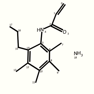 C=CC(=O)Nc1c(C)c(C)c(C)c(C)c1CCC.N